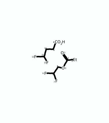 CCC(=O)OCC(F)F.O=C(O)CCC(F)F